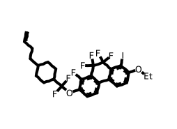 C=CCCC1CCC(C(F)(F)Oc2ccc3c(c2F)C(F)(F)C(F)(F)c2c-3ccc(OCC)c2I)CC1